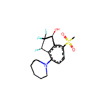 CS(=O)(=O)c1ccc(N2CCCCC2)c2c1[C@H](O)C(F)(F)[C@@H]2F